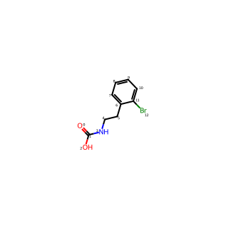 O=C(O)NCCc1ccccc1Br